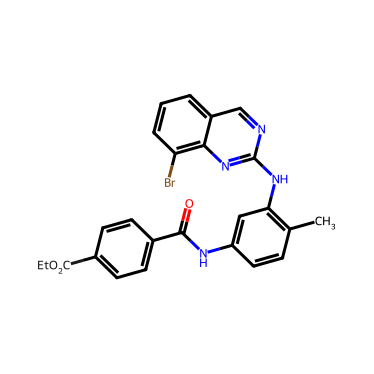 CCOC(=O)c1ccc(C(=O)Nc2ccc(C)c(Nc3ncc4cccc(Br)c4n3)c2)cc1